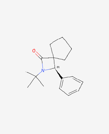 CC(C)(C)N1C(=O)C2(CCCC2)[C@H]1c1ccccc1